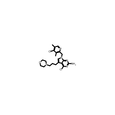 Cc1cnc(Cn2cc(CCCN3CCOCC3)c3c(Cl)nc(N)nc32)c(C)c1Cl